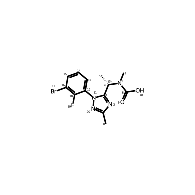 Cc1nc([C@H](C)N(C)C(=O)O)n(-c2cccc(Br)c2F)n1